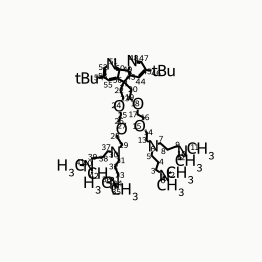 CN(C)CCCN(CCCN(C)C)CCOCCOCCC1(CCOCCOCCN(CCCN(C)C)CCCN(C)C)c2cc(C(C)(C)C)cnc2-c2ncc(C(C)(C)C)cc21